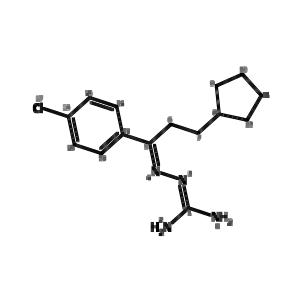 NC(N)=N/N=C(\CCC1CCCC1)c1ccc(Cl)cc1